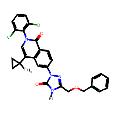 CCn1c(COCc2ccccc2)nn(-c2ccc3c(=O)n(-c4c(Cl)cccc4Cl)cc(C4(C)CC4)c3c2)c1=O